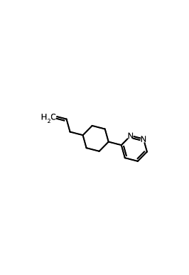 C=CCC1CCC(c2cccnn2)CC1